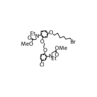 CCN(CC(=O)OC)c1ccc(OCCCCCCBr)cc1OCCOc1ccc(Cl)cc1N(CC)CC(=O)OC